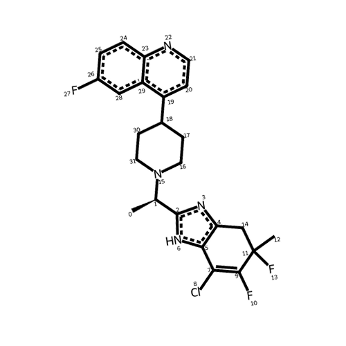 C[C@H](c1nc2c([nH]1)C(Cl)=C(F)C(C)(F)C2)N1CCC(c2ccnc3ccc(F)cc23)CC1